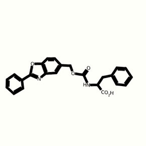 O=C(NC(Cc1ccccc1)C(=O)O)OCc1ccc2oc(-c3ccccc3)nc2c1